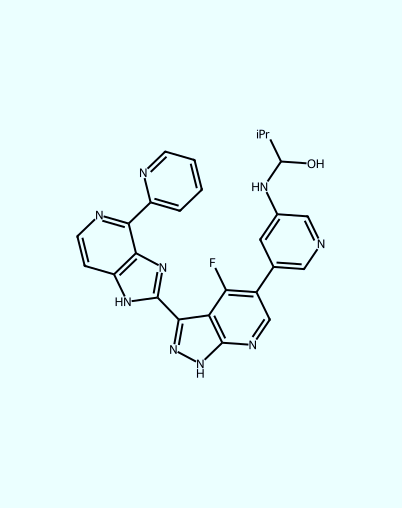 CC(C)C(O)Nc1cncc(-c2cnc3[nH]nc(-c4nc5c(-c6ccccn6)nccc5[nH]4)c3c2F)c1